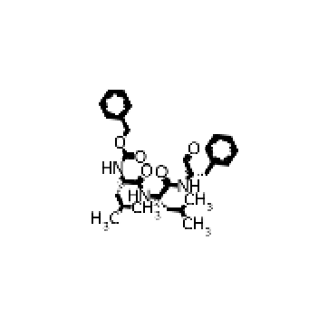 CC(C)C[C@H](NC(=O)OCc1ccccc1)C(=O)N[C@@H](CC(C)C)C(=O)N[C@H](C=O)Cc1ccccc1